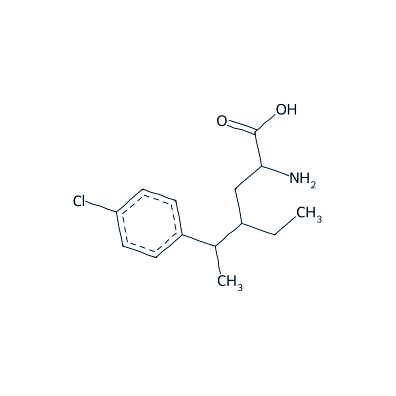 CCC(CC(N)C(=O)O)C(C)c1ccc(Cl)cc1